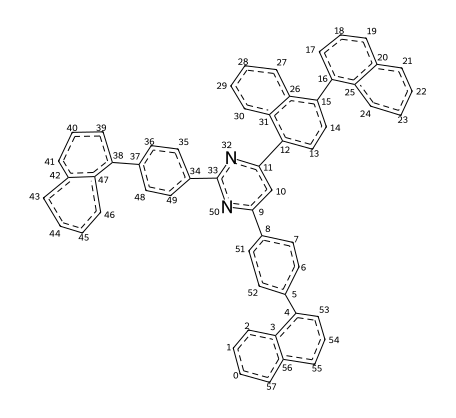 c1ccc2c(-c3ccc(-c4cc(-c5ccc(-c6cccc7ccccc67)c6ccccc56)nc(-c5ccc(-c6cccc7ccccc67)cc5)n4)cc3)cccc2c1